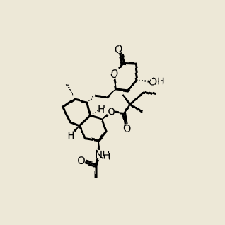 CCC(C)(C)C(=O)O[C@H]1C[C@@H](NC(C)=O)C[C@@H]2CC[C@H](C)[C@H](CC[C@@H]3C[C@@H](O)CC(=O)O3)[C@H]21